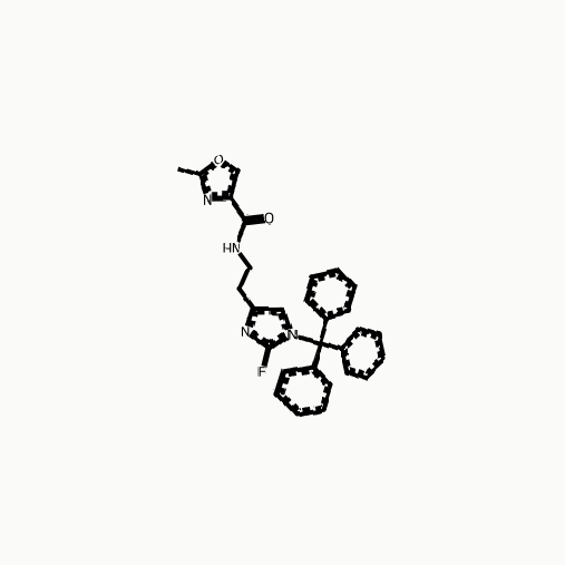 Cc1nc(C(=O)NCCc2cn(C(c3ccccc3)(c3ccccc3)c3ccccc3)c(F)n2)co1